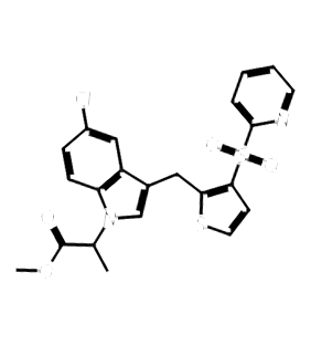 COC(=O)C(C)n1cc(Cc2sccc2S(=O)(=O)c2ccccn2)c2cc(Cl)ccc21